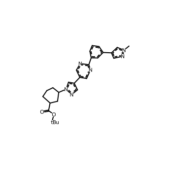 Cn1cc(-c2cccc(-c3ncc(-c4cnn(C5CCCC(C(=O)OC(C)(C)C)C5)c4)cn3)c2)cn1